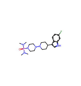 CN(C)P(=O)(N(C)C)N1CCN(N2CCC(c3c[nH]c4cc(F)ccc34)CC2)CC1